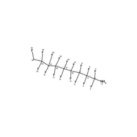 NC(F)(F)C(F)(F)C(F)(F)C(F)(F)C(F)(F)C(F)(F)C(F)(F)C(F)(F)CF